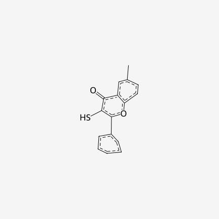 Cc1ccc2oc(-c3ccccc3)c(S)c(=O)c2c1